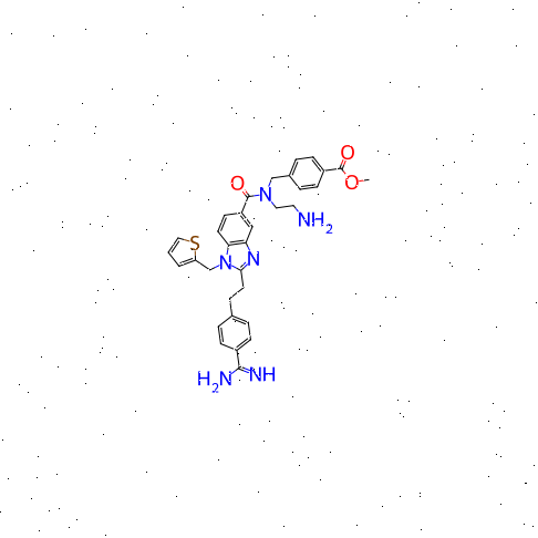 COC(=O)c1ccc(CN(CCN)C(=O)c2ccc3c(c2)nc(CCc2ccc(C(=N)N)cc2)n3Cc2cccs2)cc1